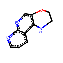 c1cnc2ncc3c(c2c1)NCCO3